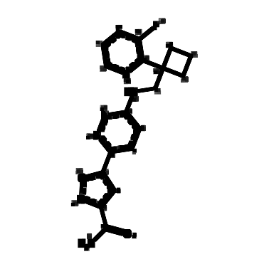 NC(=O)c1cc(-c2ccc(NCC3(c4ncccc4F)CCC3)nn2)on1